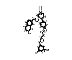 Cc1cc(C)cc(COCCCOc2ccc(C3CCNCC3OCc3ccc4ccccc4c3)cc2)c1